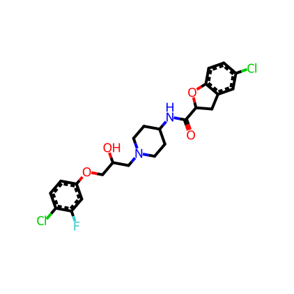 O=C(NC1CCN(CC(O)COc2ccc(Cl)c(F)c2)CC1)C1Cc2cc(Cl)ccc2O1